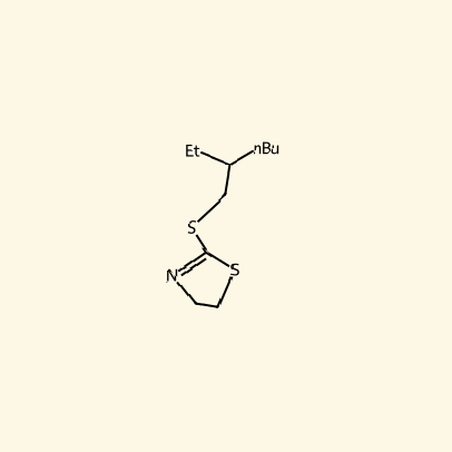 CCCCC(CC)CSC1=NCCS1